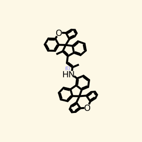 CC1=C(/C=C(\C)Nc2cccc3c2-c2ccccc2C32c3ccccc3Oc3ccccc32)c2ccccc2C12c1ccccc1Oc1ccccc12